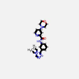 CC[N+]1(CC)C=NN=C1c1cccc(NC(=O)c2cc(N3CCOCC3)ccn2)c1